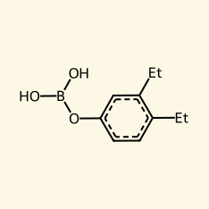 CCc1ccc(OB(O)O)cc1CC